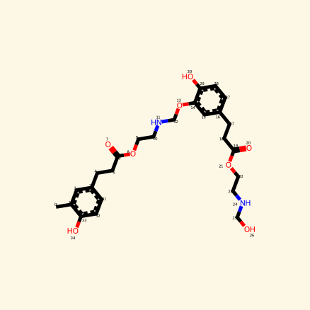 Cc1cc(CCC(=O)OCCNCOc2cc(CCC(=O)OCCNCO)ccc2O)ccc1O